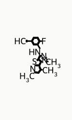 C#Cc1ccc(F)c(CNc2nn(C)c3c2sc2nc(C)cc(C)c23)c1